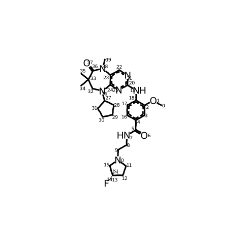 COc1cc(C(=O)NCCN2CC[C@H](F)C2)ccc1Nc1ncc2c(n1)N(C1CCCC1)CC(C)(C)C(=O)N2C